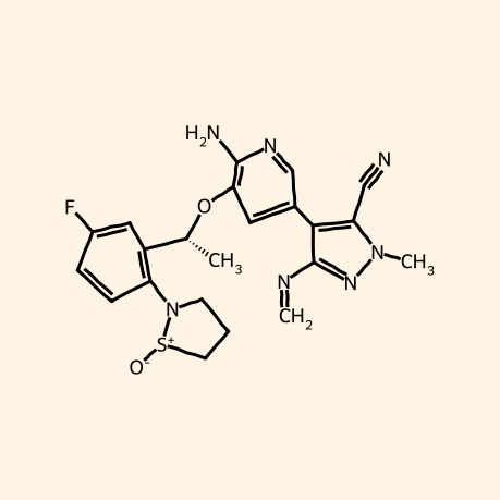 C=Nc1nn(C)c(C#N)c1-c1cnc(N)c(O[C@H](C)c2cc(F)ccc2N2CCC[S+]2[O-])c1